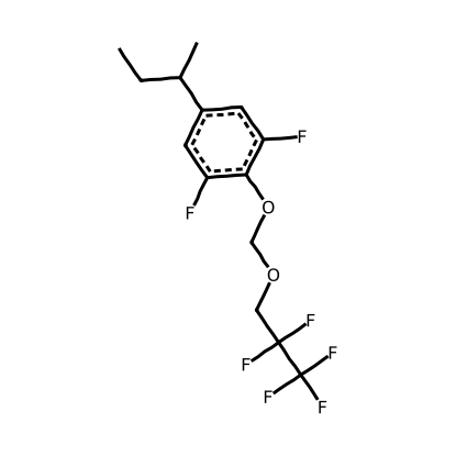 CCC(C)c1cc(F)c(OCOCC(F)(F)C(F)(F)F)c(F)c1